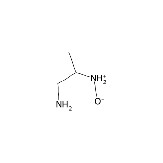 CC(CN)[NH2+][O-]